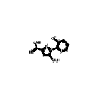 COC(=N)c1cc(C(=O)O)n(-c2ncccc2Cl)n1